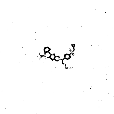 CC(=O)NCCC(c1ccc(S(=O)(=O)CC2CC2)cc1)N1Cc2cc(Cl)c(-c3ccccc3OC(F)F)cc2C1